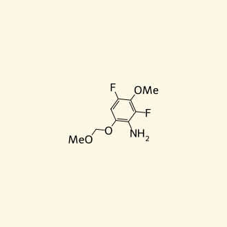 COCOc1cc(F)c(OC)c(F)c1N